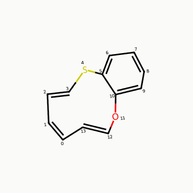 C1=C\C=C\Sc2ccccc2O/C=C/1